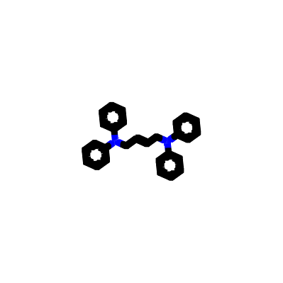 C(=CCN(c1ccccc1)c1ccccc1)CN(c1ccccc1)c1ccccc1